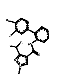 Cn1cc(C(=O)Nc2ccccc2-c2ccc(F)c(Cl)c2)c(C(F)Cl)n1